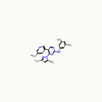 Cc1cc(C#N)cc(Nc2ncc(-c3cncc(C(=O)O)c3)c(-n3nc(C(F)(F)F)cc3C)n2)c1